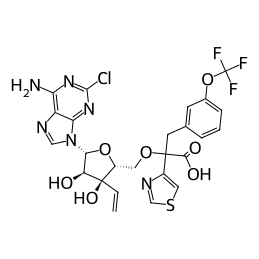 C=C[C@@]1(O)[C@@H](COC(Cc2cccc(OC(F)(F)F)c2)(C(=O)O)c2cscn2)O[C@@H](n2cnc3c(N)nc(Cl)nc32)[C@@H]1O